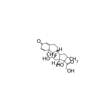 CC1CC2[C@H]3CCC4=CC(=O)C=CC4(C)C3(F)C(O)CC2(C)C1(O)C(=O)CO